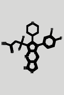 O=C(O)CC(F)(F)c1c(C2CCOCC2)n(-c2ccc(F)c(F)c2)c2cc3cn[nH]c3nc12